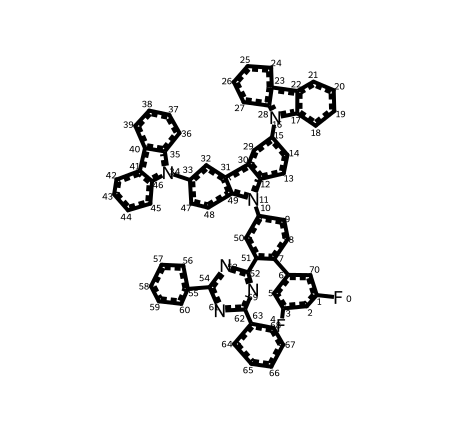 Fc1cc(F)cc(-c2ccc(-n3c4ccc(-n5c6ccccc6c6ccccc65)cc4c4cc(-n5c6ccccc6c6ccccc65)ccc43)cc2-c2nc(-c3ccccc3)nc(-c3ccccc3)n2)c1